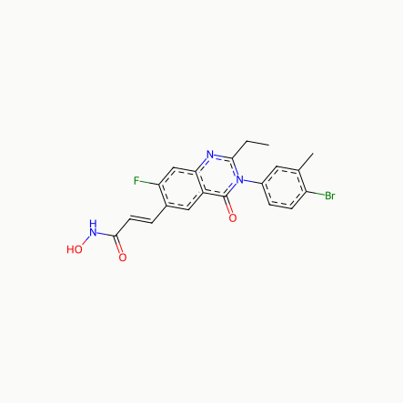 CCc1nc2cc(F)c(/C=C/C(=O)NO)cc2c(=O)n1-c1ccc(Br)c(C)c1